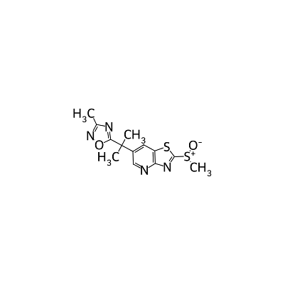 Cc1noc(C(C)(C)c2cnc3nc([S+](C)[O-])sc3c2)n1